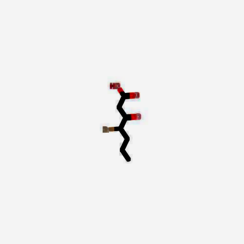 CCCC(Br)C(=O)CC(=O)O